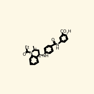 CCC(=O)N1c2ccccc2[C@H](Nc2ccc(C(=O)Nc3cccc(C(=O)O)c3)cc2)C[C@@H]1C